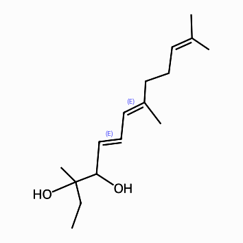 CCC(C)(O)C(O)/C=C/C=C(\C)CCC=C(C)C